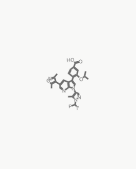 Cc1noc(C)c1-c1cnc2c(c1)c(-c1ccc(C(=O)O)cc1OC(C)C)cn2-c1cnn(C(F)F)c1C